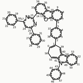 C1=C(c2ccc(-c3cccc4c3oc3c(-c5nc(-c6ccccc6)cc(-c6ccccc6)n5)cccc34)cc2)C=c2c(n(-c3ccccc3)c3ccccc23)=CC1